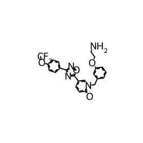 NCCOc1cccc(Cn2cc(-c3nc(-c4ccc(OC(F)(F)F)cc4)no3)ccc2=O)c1